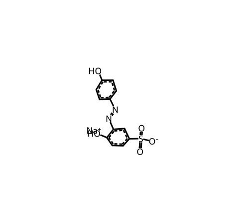 O=S(=O)([O-])c1ccc(O)c(N=Nc2ccc(O)cc2)c1.[Na+]